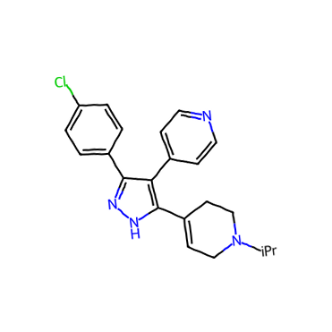 CC(C)N1CC=C(c2[nH]nc(-c3ccc(Cl)cc3)c2-c2ccncc2)CC1